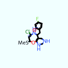 CSC1/C=C(/Cl)[NH+]([O-])C(Cc2ccc(F)cc2)C2=C(NCNC2)O1